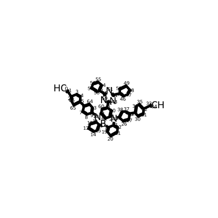 C#Cc1ccc(-c2ccc(N3c4ccccc4B4c5ccccc5N(c5ccc(-c6ccc(C#C)cc6)cc5)c5cc(-c6nc(-c7ccccc7)nc(-c7ccccc7)n6)cc3c54)cc2)cc1